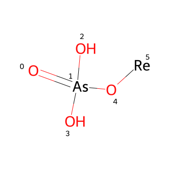 O=[As](O)(O)[O][Re]